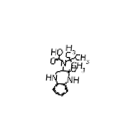 CC(C)(C)N(C(=O)O)C1CNc2ccccc2NC1=O